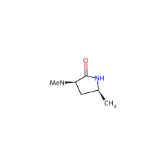 CN[C@@H]1C[C@H](C)NC1=O